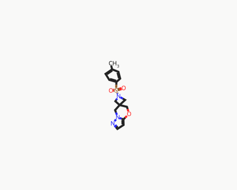 Cc1ccc(S(=O)(=O)N2CC3(COc4ccnn4C3)C2)cc1